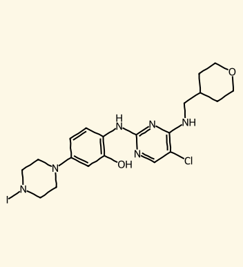 Oc1cc(N2CCN(I)CC2)ccc1Nc1ncc(Cl)c(NCC2CCOCC2)n1